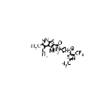 Cc1nc(C(F)(F)F)c([S+]([O-])N2CC(NC(=O)c3sc4nnc(C)c(C)c4c3N)C2)s1